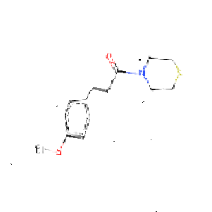 CCOc1ccc(CCC(=O)N2CCSCC2)cc1